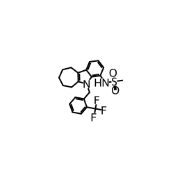 CS(=O)(=O)Nc1cccc2c3c(n(Cc4ccccc4C(F)(F)F)c12)CCCCC3